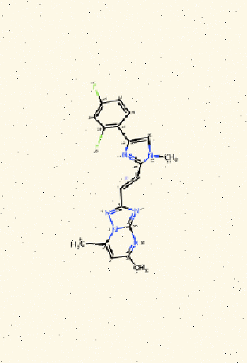 Cc1cc(C)n2nc(/C=C/c3nc(-c4ccc(F)cc4F)cn3C)nc2n1